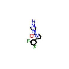 O=C(N1CCNCC1)N1C=CC[C@H]1c1cc(F)cc(F)c1